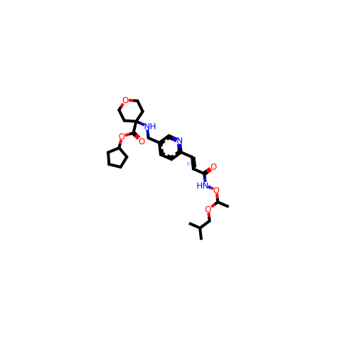 CC(C)COC(C)ONC(=O)/C=C/c1ccc(CNC2(C(=O)OC3CCCC3)CCOCC2)cn1